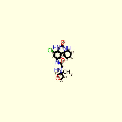 CC1(NCc2nc3cc(Cl)c4c(c3o2)C2(CCCCC2)NC(=O)N4)CCOC1